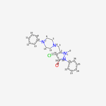 Cn1c(CN2CCN(c3ccccc3)CC2)c(Cl)c(=O)n1-c1ccccc1